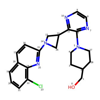 OCC1CCN(c2nccnc2C2CN(c3ccc4cccc(Cl)c4n3)C2)CC1